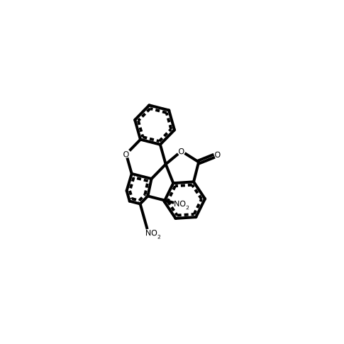 O=C1OC2(c3ccccc3Oc3ccc([N+](=O)[O-])c([N+](=O)[O-])c32)c2ccccc21